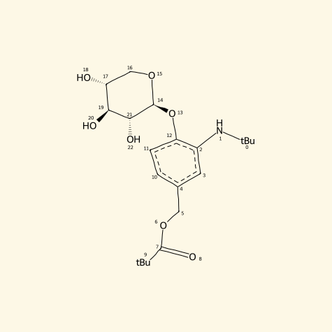 CC(C)(C)Nc1cc(COC(=O)C(C)(C)C)ccc1O[C@@H]1OC[C@@H](O)[C@H](O)[C@H]1O